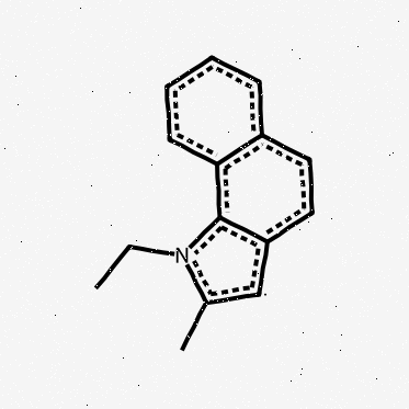 CCn1c(C)[c]c2ccc3ccccc3c21